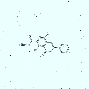 CCCCOC(=O)c1nc(Cl)c2c(c1O)C(=S)CC(c1ccccc1)=C2